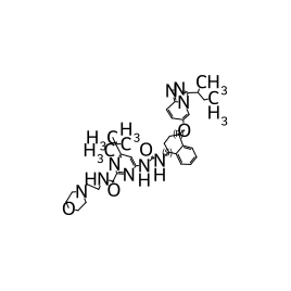 CCC(C)c1nnc2ccc(O[C@@H]3CC[C@H](NC(=O)Nc4cc(C(C)(C)C)nc(C(=O)NCCN5CCOCC5)n4)c4ccccc43)cn12